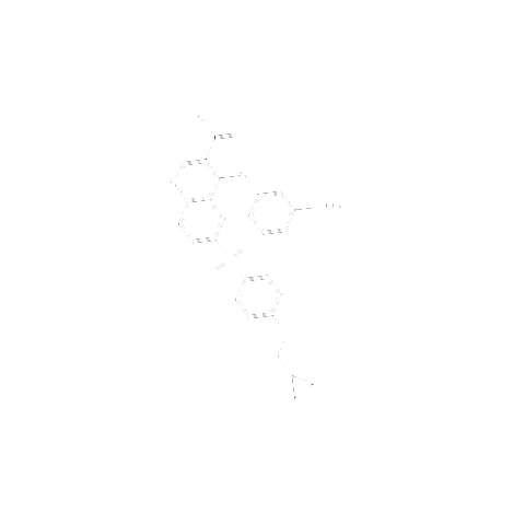 COc1cccc(Nc2c(C(N)=O)cnc3ccc(S(=O)(=O)c4ccc(OCC5CC5)cc4)cc23)c1